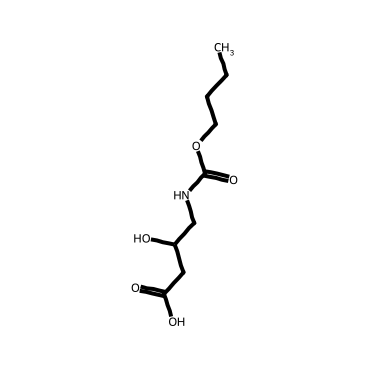 CCCCOC(=O)NCC(O)CC(=O)O